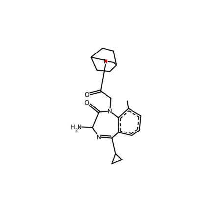 Cc1cccc2c1N(CC(=O)N1CC3CCC(CC3)C1)C(=O)C(N)N=C2C1CC1